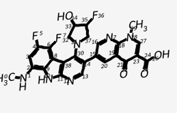 CNc1cc(F)c(F)c2c1[nH]c1ncc(-c3cnc4c(c3)c(=O)c(C(=O)O)cn4C)c(N3CC(O)C(F)C3)c12